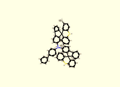 CC(C)(C)c1ccc2c(c1)C1(c3cc(C(C)(C)C)ccc3S2)c2ccccc2-c2ccc(N(c3ccc(-c4ccccc4)cc3)c3ccc4c(c3)C3(c5ccccc5Sc5ccccc53)c3ccccc3-4)cc21